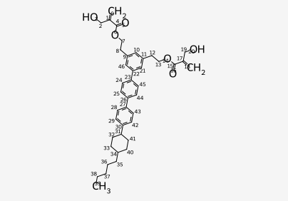 C=C(CO)C(=O)OCCc1cc(CCOC(=O)C(=C)CO)cc(-c2ccc(-c3ccc(C4CCC(CCCCC)CC4)cc3)cc2)c1